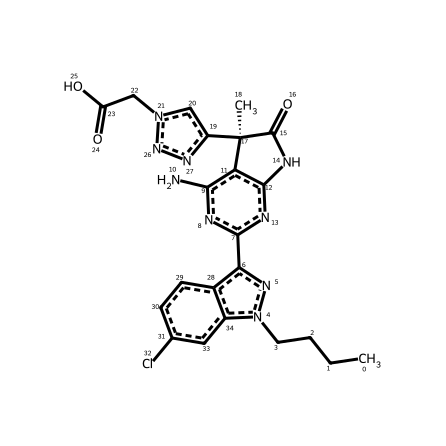 CCCCn1nc(-c2nc(N)c3c(n2)NC(=O)[C@]3(C)c2cn(CC(=O)O)nn2)c2ccc(Cl)cc21